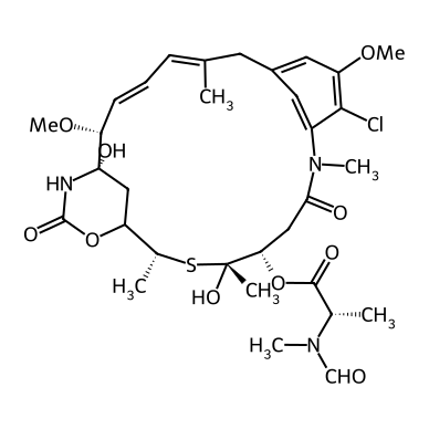 COc1cc2cc(c1Cl)N(C)C(=O)C[C@H](OC(=O)[C@H](C)N(C)C=O)[C@](C)(O)S[C@H](C)C1C[C@@](O)(NC(=O)O1)[C@H](OC)/C=C/C=C(\C)C2